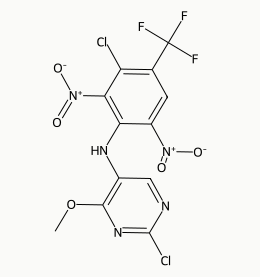 COc1nc(Cl)ncc1Nc1c([N+](=O)[O-])cc(C(F)(F)F)c(Cl)c1[N+](=O)[O-]